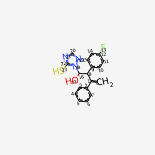 C=C(c1ccccc1)C(c1ccc(F)cc1)C(O)n1ncnc1S